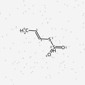 [CH2]C=CS[SH](=O)=O